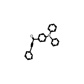 O=C(C#Cc1ccccc1)c1ccc(N(c2ccccc2)c2ccccc2)cc1